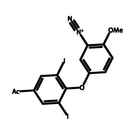 COc1ccc(Oc2c(I)cc(C(C)=O)cc2I)cc1[N+]#N